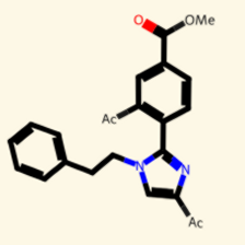 COC(=O)c1ccc(-c2nc(C(C)=O)cn2CCc2ccccc2)c(C(C)=O)c1